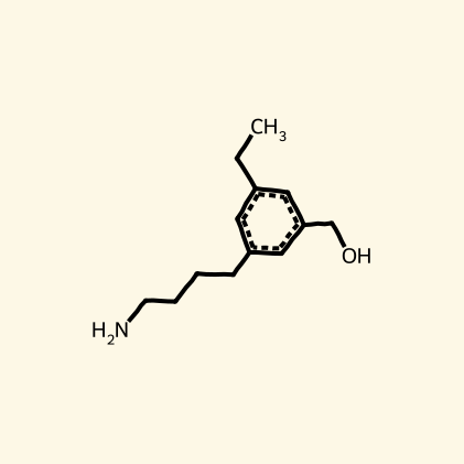 CCc1cc(CO)cc(CCCCN)c1